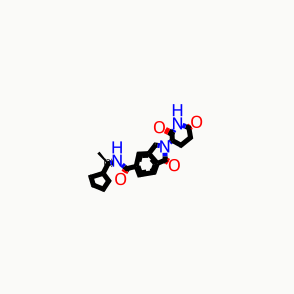 C[C@@H](NC(=O)c1ccc2c(c1)CN(C1CCC(=O)NC1=O)C2=O)C1CCCC1